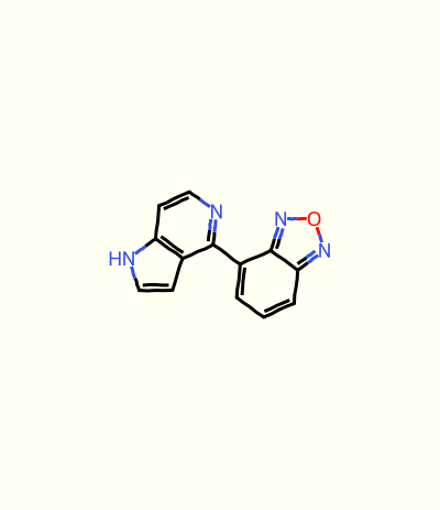 c1cc(-c2nccc3[nH]ccc23)c2nonc2c1